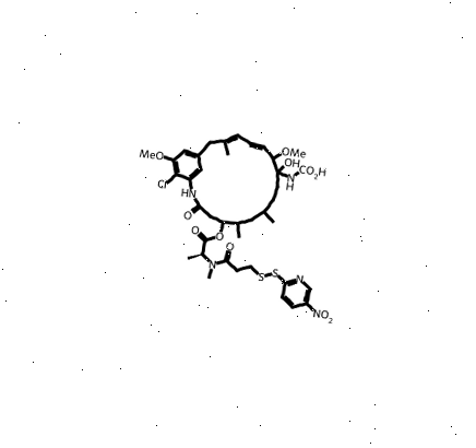 COc1cc2cc(c1Cl)NC(=O)CC(OC(=O)[C@H](C)N(C)C(=O)CCSSc1ccc([N+](=O)[O-])cn1)C(C)CC(C)CCC(O)(NC(=O)O)C(OC)/C=C/C=C(\C)C2